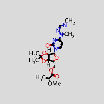 C=N/C=N\N(C)c1ccn([C@@H]2O[C@H](COC(=O)[C@H](C)OC)[C@H]3OC(C)(C)O[C@H]32)c(=O)n1